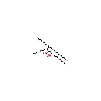 CCCCCCCCCCCC(CCCCCCCC)C(CCCCCCC)C(CCCCCCCCCC)C(=O)O